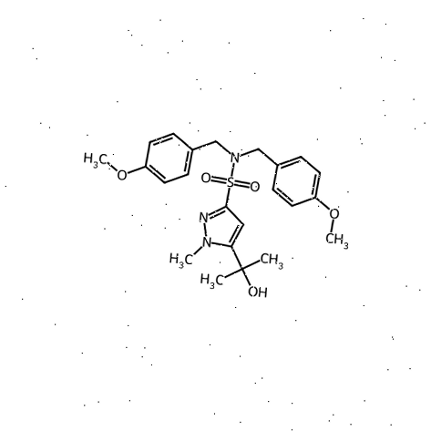 COc1ccc(CN(Cc2ccc(OC)cc2)S(=O)(=O)c2cc(C(C)(C)O)n(C)n2)cc1